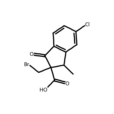 CC1c2cc(Cl)ccc2C(=O)C1(CBr)C(=O)O